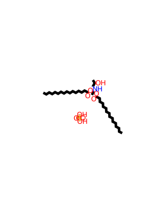 CCCCCCCCCCCCCCCC(=O)OC(C)(NCC(C)O)OC(=O)CCCCCCCCCCCCCCC.O=S(=O)(O)O